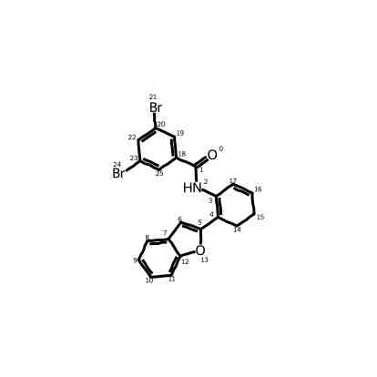 O=C(NC1=C(c2cc3ccccc3o2)CCC=C1)c1cc(Br)cc(Br)c1